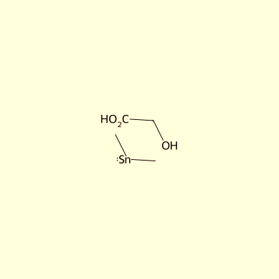 O=C(O)CO.[CH3][Sn][CH3]